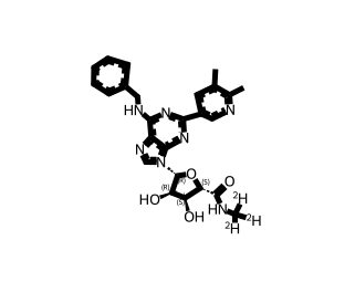 [2H]C([2H])([2H])NC(=O)[C@H]1O[C@@H](n2cnc3c(NCc4ccccc4)nc(-c4cnc(C)c(C)c4)nc32)[C@H](O)[C@@H]1O